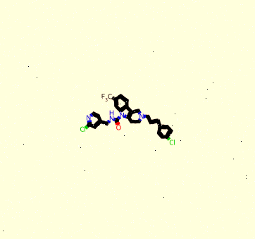 O=C(NCc1ccnc(Cl)c1)n1c2c(c3ccc(C(F)(F)F)cc31)CN(C/C=C/c1ccc(Cl)cc1)CC2